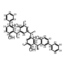 Cc1cc(C(C)c2cc(C)c(O)c(C(C)c3cc(-c4ccccc4)ccc3O)c2)cc(C(C)c2cc(-c3ccccc3)ccc2O)c1O